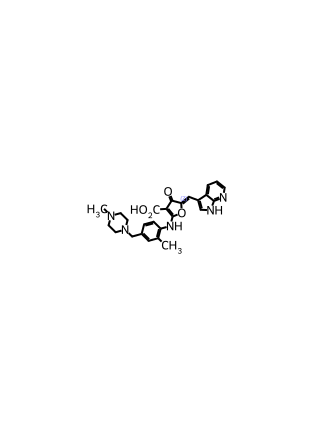 Cc1cc(CN2CCN(C)CC2)ccc1NC1=C(C(=O)O)C(=O)/C(=C/c2c[nH]c3ncccc23)O1